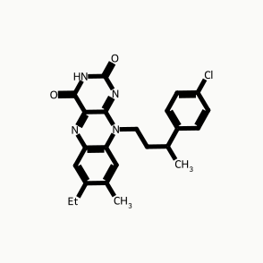 CCc1cc2nc3c(=O)[nH]c(=O)nc-3n(CCC(C)c3ccc(Cl)cc3)c2cc1C